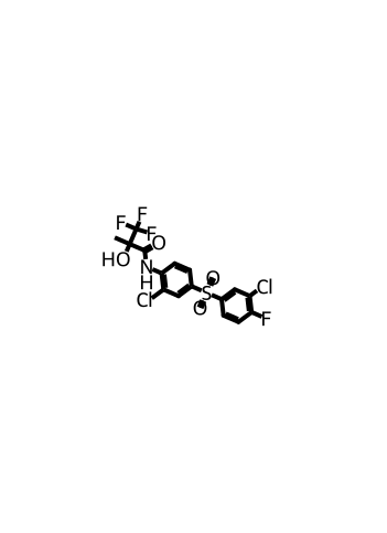 CC(O)(C(=O)Nc1ccc(S(=O)(=O)c2ccc(F)c(Cl)c2)cc1Cl)C(F)(F)F